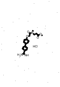 COC(=O)CCN(C)C(=O)COc1ccc(-c2ccc(C(=N)N)cc2)cc1.Cl